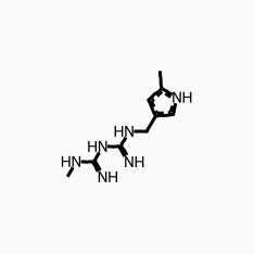 CNC(=N)NC(=N)NCc1c[nH]c(C)c1